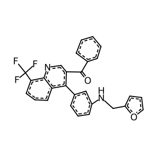 O=C(c1ccccc1)c1cnc2c(C(F)(F)F)cccc2c1-c1cccc(NCc2ccco2)c1